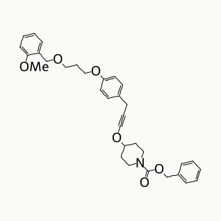 COc1ccccc1COCCCOc1ccc(CC#COC2CCN(C(=O)OCc3ccccc3)CC2)cc1